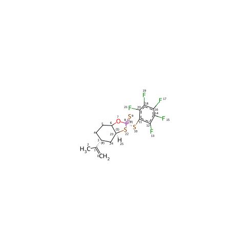 C=C(C)[C@@H]1CCC2O[P@](=S)(Sc3c(F)c(F)c(F)c(F)c3F)S[C@H]2C1